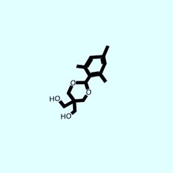 Cc1cc(C)c(C2OCC(CO)(CO)CO2)c(C)c1